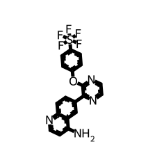 Nc1ccnc2ccc(-c3nccnc3Oc3ccc(S(F)(F)(F)(F)F)cc3)cc12